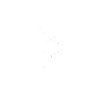 COc1nc(-c2cccc(-c3cccc(-c4ncc5c(CNC[C@H]6CCC(=O)N6)cn(C)c5n4)c3Cl)c2Cl)ccc1CNC[C@H]1CCC(=O)N1